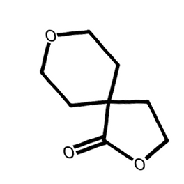 O=C1OCCC12CCOCC2